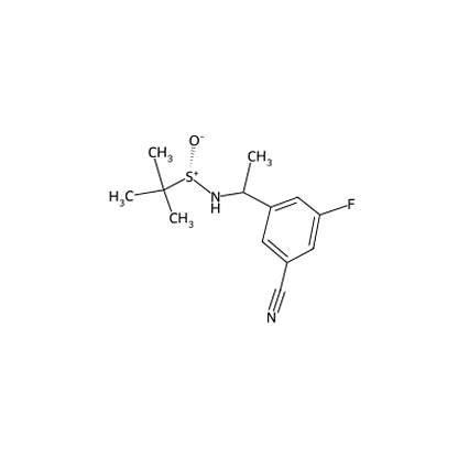 CC(N[S@@+]([O-])C(C)(C)C)c1cc(F)cc(C#N)c1